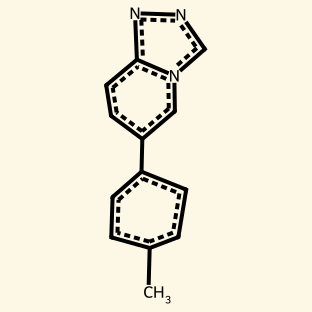 Cc1ccc(-c2ccc3nncn3c2)cc1